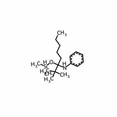 CCCCCC(Nc1ccccc1)(O[SiH](C)C)C(C)(C)C